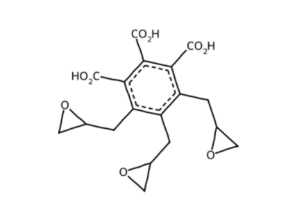 O=C(O)c1c(CC2CO2)c(CC2CO2)c(CC2CO2)c(C(=O)O)c1C(=O)O